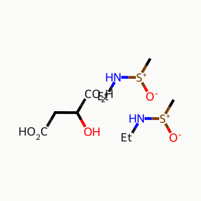 CCN[S+](C)[O-].CCN[S+](C)[O-].O=C(O)CC(O)C(=O)O